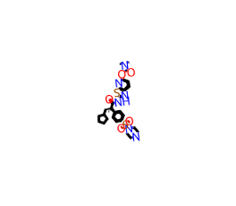 CN1CCN(S(=O)(=O)c2ccc([C@@H](CC3CCCC3)C(=O)Nc3nc4ccc(OC(=O)N(C)C)nc4s3)cc2)CC1